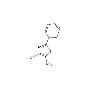 O=[N+]([O-])c1sc(-c2cccnc2)nc1Cl